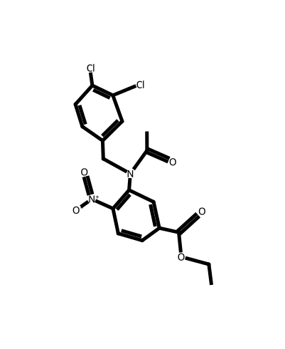 CCOC(=O)c1ccc([N+](=O)[O-])c(N(Cc2ccc(Cl)c(Cl)c2)C(C)=O)c1